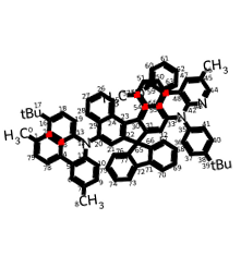 Cc1ccc(-c2cc(C)ccc2N(c2ccc(C(C)(C)C)cc2)c2cc3c(c4ccccc24)-c2c(cc(N(c4ccc(C(C)(C)C)cc4)c4ncc(C)cc4-c4ccc(C)cc4)c4c2oc2ccccc24)C32c3ccccc3-c3ccccc32)cc1